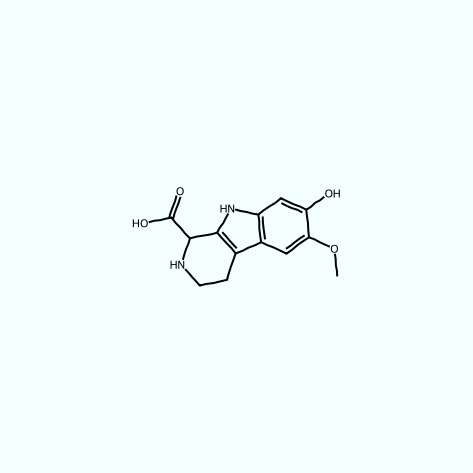 COc1cc2c3c([nH]c2cc1O)C(C(=O)O)NCC3